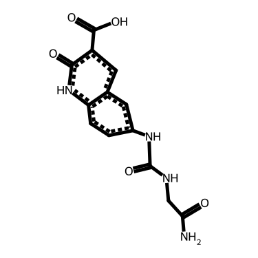 NC(=O)CNC(=O)Nc1ccc2[nH]c(=O)c(C(=O)O)cc2c1